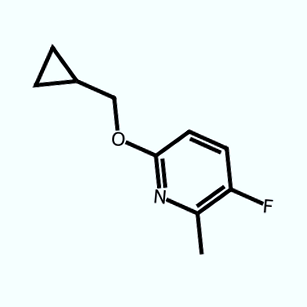 Cc1nc(OCC2CC2)ccc1F